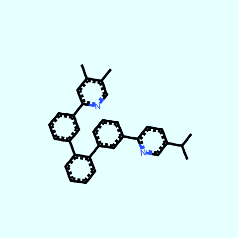 Cc1cnc(-c2cccc(-c3ccccc3-c3cccc(-c4ccc(C(C)C)cn4)c3)c2)cc1C